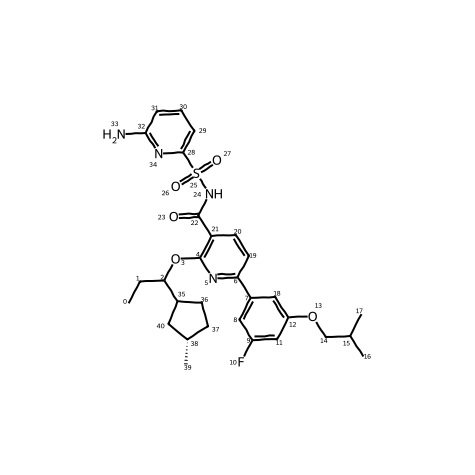 CCC(Oc1nc(-c2cc(F)cc(OCC(C)C)c2)ccc1C(=O)NS(=O)(=O)c1cccc(N)n1)C1CC[C@H](C)C1